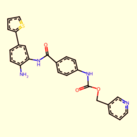 Nc1ccc(-c2cccs2)cc1NC(=O)c1ccc(NC(=O)OCc2cccnc2)cc1